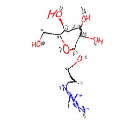 [N-]=[N+]=NCCO[C@@H]1OC(CO)[C@@H](O)C(O)C1O